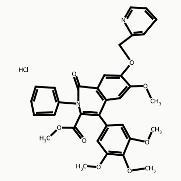 COC(=O)c1c(-c2cc(OC)c(OC)c(OC)c2)c2cc(OC)c(OCc3ccccn3)cc2c(=O)n1-c1ccccc1.Cl